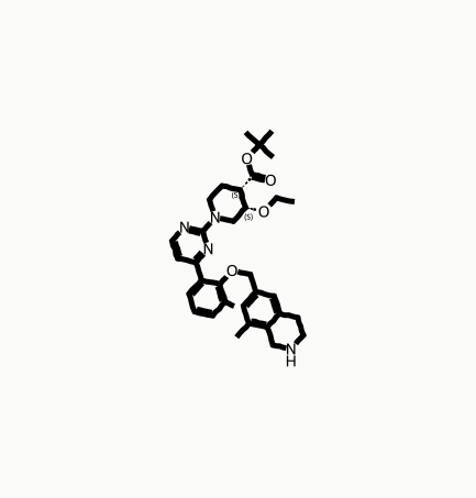 CCO[C@@H]1CN(c2nccc(-c3cccc(C)c3OCc3cc(C)c4c(c3)CCNC4)n2)CC[C@@H]1C(=O)OC(C)(C)C